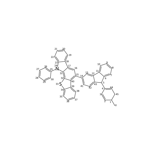 CC1C=CC(C2c3ccccc3-c3cc(-c4cc5c6ccccc6n(-c6ccccc6)c5c5sc6ccccc6c45)ccc32)=CC1